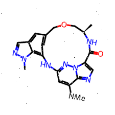 CNc1cc2nn3c(cnc13)C(=O)N[C@H](C)COCc1cc(c3c(cnn3C)c1)N2